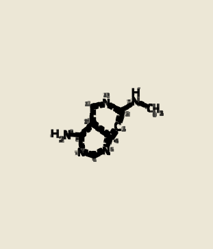 CNc1cc2ncnc(N)c2cn1